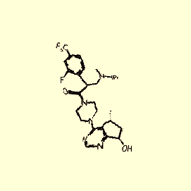 CC(C)N(C)CC(C(=O)N1CCN(c2ncnc3c2[C@H](C)C[C@H]3O)CC1)c1ccc(C(F)(F)F)cc1F